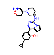 Oc1cc(C2CC2)ccc1-c1nnc(N[C@@H]2CCCN(C3=CNOC=C3)C2)n2cccc12